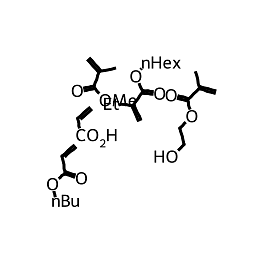 C=C(C)C(=O)OC.C=C(C)C(=O)OCCO.C=C(CC)C(=O)OCCCCCC.C=CC(=O)O.C=CC(=O)OCCCC